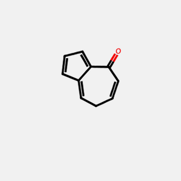 O=C1C=CCC=C2C=CC=C12